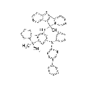 CC1(C)c2ccccc2-c2ccc(N(c3ccc(-c4ccccc4)cc3)c3cccc(-c4cccc5c4C(C)(C)c4c-5sc5ccccc45)c3)cc21